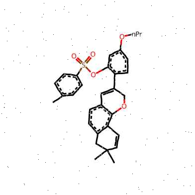 CCCOc1ccc(C2=Cc3ccc4c(c3OC2)C=CC(C)(C)C4)c(OS(=O)(=O)c2ccc(C)cc2)c1